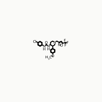 COc1ccc(C2CN(Cc3cc(C(F)(F)F)on3)CC[C@H]2NC(=O)Nc2ccc(Cl)cc2)cc1